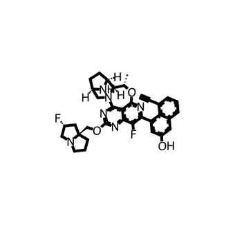 C#Cc1cccc2cc(O)cc(-c3nc4c5c(nc(OC[C@@]67CCCN6C[C@H](F)C7)nc5c3F)N3C[C@H]5CC[C@H](N5)[C@H]3[C@H](C)O4)c12